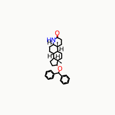 C[C@]12CCC(=O)N[C@@H]1CC[C@@H]1[C@@H]2CC[C@]2(C)[C@@H](OC(c3ccccc3)c3ccccc3)CC[C@@H]12